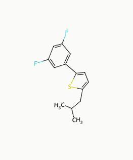 CC(C)Cc1ccc(-c2cc(F)cc(F)c2)s1